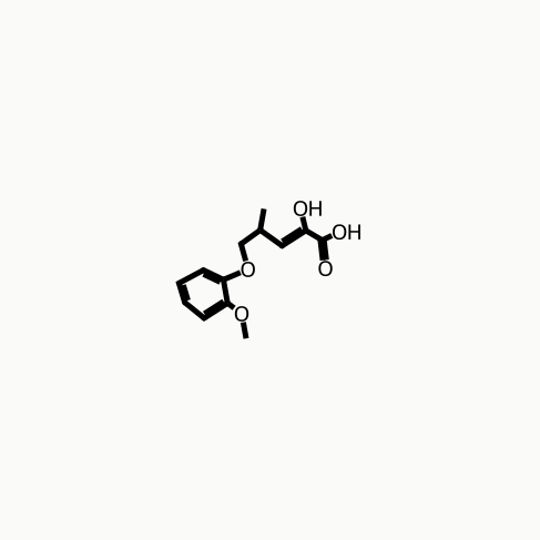 COc1ccccc1OCC(C)/C=C(\O)C(=O)O